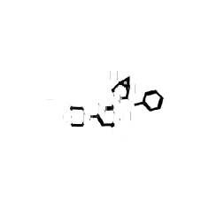 CC1CN(c2cc(=O)[nH]c(N3C[C@H]4C[C@H]4[C@@H]3Cc3ccccc3)n2)CCO1